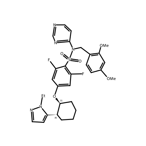 CCn1nccc1[C@H]1CCCC[C@@H]1Oc1cc(F)c(S(=O)(=O)N(Cc2ccc(OC)cc2OC)c2ccncn2)c(F)c1